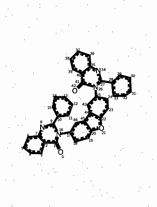 O=c1c2ccccc2nc(-c2ccccc2)n1-c1ccc2oc3ccc(-n4c(-c5ccccc5)nc5ccccc5c4=O)cc3c2c1